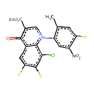 CCOC(=O)c1cn(-c2cc([N+](=O)[O-])c(F)cc2C)c2c(Cl)c(F)c(F)cc2c1=O